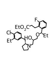 CCOC(=O)CCc1c(F)cccc1[C@@H](CC)OC[C@H](O)CN1CCC[C@H]1Cc1ccc(Cl)c(CC)c1